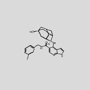 O=C(NCc1cccc(F)c1)c1cnc2[nH]ccc2c1N[C@H]1C2CC3CC1C[C@@](O)(C3)C2